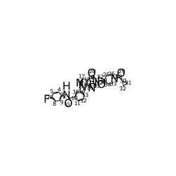 O=C(Nc1ccc(F)cc1)c1cccc(-n2ncc3c(=O)n(CC4(O)CCN(C(=O)C5CC5)CC4)cnc32)c1